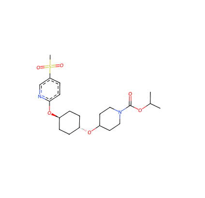 CC(C)OC(=O)N1CCC(O[C@H]2CC[C@H](Oc3ccc(S(C)(=O)=O)cn3)CC2)CC1